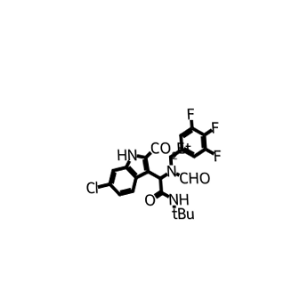 CCOC(=O)c1[nH]c2cc(Cl)ccc2c1C(C(=O)NC(C)(C)C)N(C=O)Cc1cc(F)c(F)c(F)c1